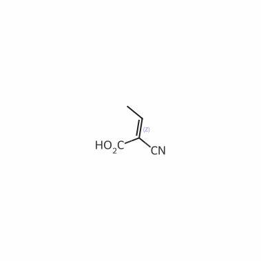 C/C=C(/C#N)C(=O)O